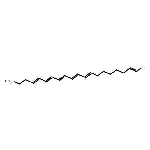 CC/C=C/CCCCC/C=C/C=C/C=C/C=C/C=C/CCC(=O)O